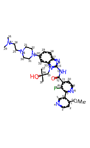 COc1ccncc1-c1nccc(C(=O)Nc2nc3ccc(N4CCN(CCN(C)C)CC4)cc3n2CC(C)(C)O)c1F